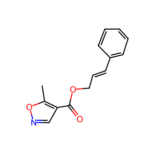 Cc1oncc1C(=O)OCC=Cc1ccccc1